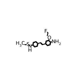 CCSNc1ccc(/C=C/c2ccc(N)c(OCCF)c2)cc1